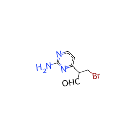 Nc1nccc(C(C=O)CBr)n1